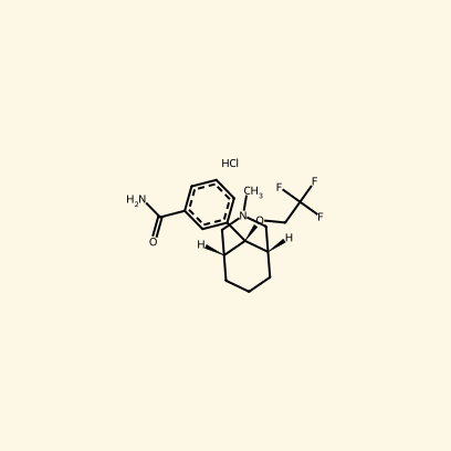 CN1C[C@H]2CCC[C@@H](C1)[C@@]2(OCC(F)(F)F)c1cccc(C(N)=O)c1.Cl